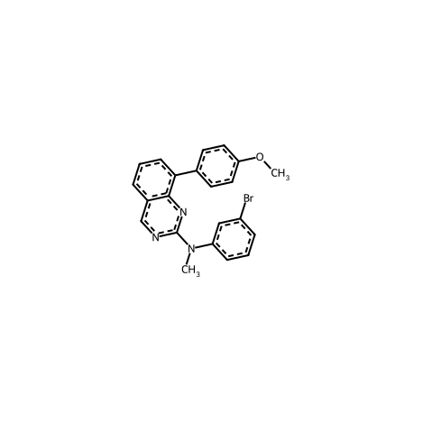 COc1ccc(-c2cccc3cnc(N(C)c4cccc(Br)c4)nc23)cc1